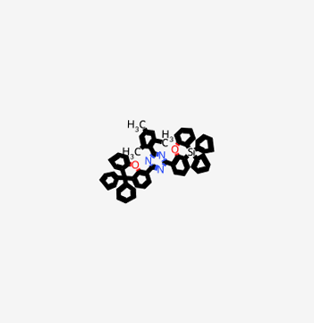 Cc1cc(C)c(-c2nc(-c3cccc4c3Oc3ccccc3C4(c3ccccc3)c3ccccc3)nc(-c3cccc4c3Oc3ccccc3[Si]4(c3ccccc3)c3ccccc3)n2)c(C)c1